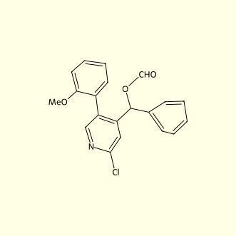 COc1ccccc1-c1cnc(Cl)cc1C(OC=O)c1ccccc1